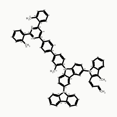 C=C/C=C\c1c(C)c2ccccc2n1-c1ccc2c(c1)c1cc(-n3c4ccccc4c4ccccc43)ccc1n2-c1ccc(-c2ccc(-c3cc(-c4ccccc4C)nc(-c4ccccc4C)n3)cc2)cc1C